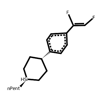 CCCCC[Si@H]1CC[C@H](c2ccc(C(F)=CF)cc2)CC1